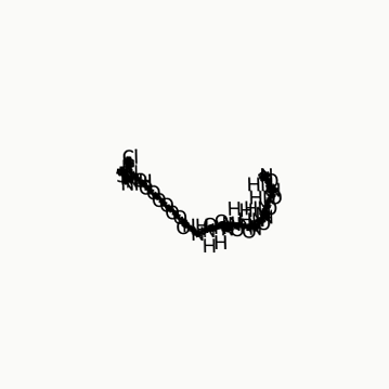 CC(=N)N1C(=N)C(CCOCCOCCOCCOCCOCCOCCOCCC(=O)NCCCN(C)CCCNC(=O)CCNC(=O)c2nc(NC(=O)CCNC(=O)c3cc(NC(=O)c4nc(NC(=O)CCNC(=O)c5cc(NC(=O)c6cccn6C)cn5C)cn4C)cn3C)cn2C)N=C(c2ccc(Cl)cc2)c2c1sc(C)c2C